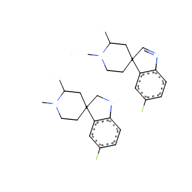 CC(C)(C)C1CC2(C=Nc3ccc(F)cc32)CCN1C(=O)O.CC(C)(C)C1CC2(CCN1C(=O)O)CNc1ccc(F)cc12